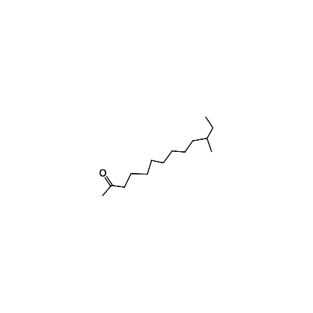 CCC(C)CCCCCCCCC(C)=O